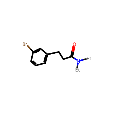 CCN(CC)C(=O)CCc1cccc(Br)c1